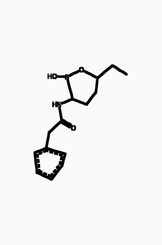 CCC1CCC(NC(=O)Cc2ccccc2)B(O)O1